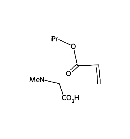 C=CC(=O)OC(C)C.CNCC(=O)O